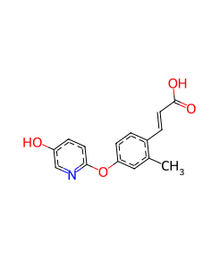 Cc1cc(Oc2ccc(O)cn2)ccc1/C=C/C(=O)O